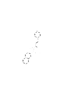 C[C@H](NC(=O)C=Cc1ccc(F)cc1)c1ccc2ccccc2c1